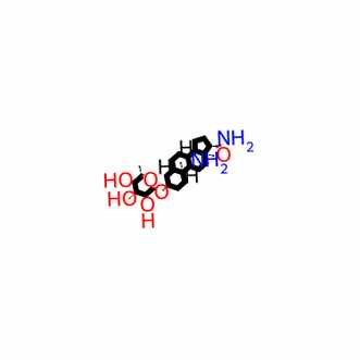 C[C@@H]1O[C@H](O[C@H]2CC[C@@]3(C)[C@H](CC[C@@H]4[C@@H]3CC[C@]3(C)[C@@H](C(N)=O)CC[C@@]43N)C2)[C@H](O)[C@H](O)[C@H]1O